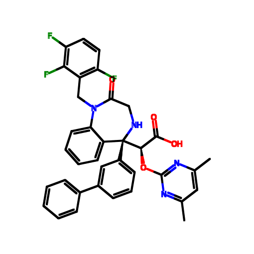 Cc1cc(C)nc(O[C@H](C(=O)O)[C@@]2(c3cccc(-c4ccccc4)c3)NCC(=O)N(Cc3c(F)ccc(F)c3F)c3ccccc32)n1